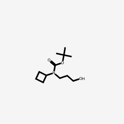 CC(C)(C)OC(=O)N(CCCO)C1CCC1